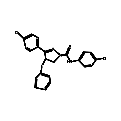 O=C(Nc1ccc(Cl)cc1)N1CC(Cc2ccccc2)C(c2ccc(Cl)cc2)=N1